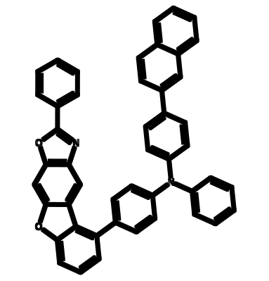 c1ccc(-c2nc3cc4c(cc3o2)oc2cccc(-c3ccc(N(c5ccccc5)c5ccc(-c6ccc7ccccc7c6)cc5)cc3)c24)cc1